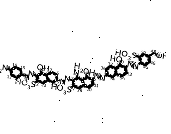 Nc1c(N=Nc2ccc3c(O)c(N=Nc4ccc([N+](=O)[O-])cc4)c(S(=O)(=O)O)cc3c2)c(S(=O)(=O)O)cc2ccc(N=Nc3ccc4c(O)c(N=Nc5ccc(CO)cc5S(=O)(=O)O)ccc4c3)c(O)c12